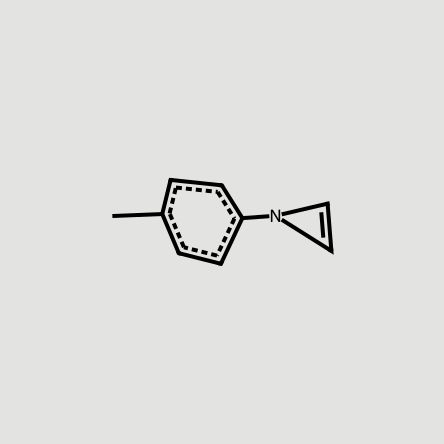 Cc1ccc(N2C=C2)cc1